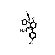 CSc1ccc(-c2ccc(Cl)c([N+]3(CC#N)C[C@@H](C)C[C@H]3C(N)=O)c2)cc1